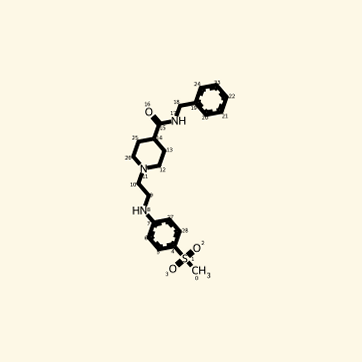 CS(=O)(=O)c1ccc(NCCN2CCC(C(=O)NCc3ccccc3)CC2)cc1